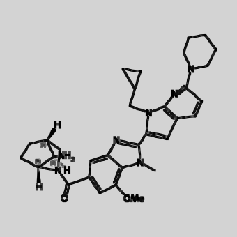 COc1cc(C(=O)N2C[C@H]3CC[C@@H]2[C@@H]3N)cc2nc(-c3cc4ccc(N5CCCCC5)nc4n3CC3CC3)n(C)c12